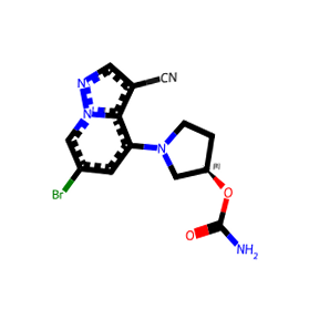 N#Cc1cnn2cc(Br)cc(N3CC[C@@H](OC(N)=O)C3)c12